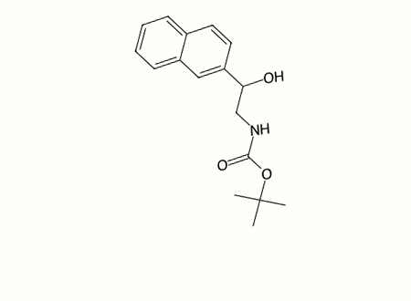 CC(C)(C)OC(=O)NCC(O)c1ccc2ccccc2c1